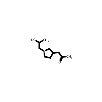 C[C](C)CN1CCC(CC(C)=O)C1